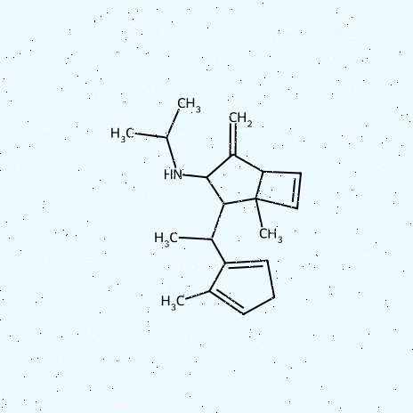 C=C1C(NC(C)C)C(C(C)C2=CCC=C2C)C2(C)C=CC12